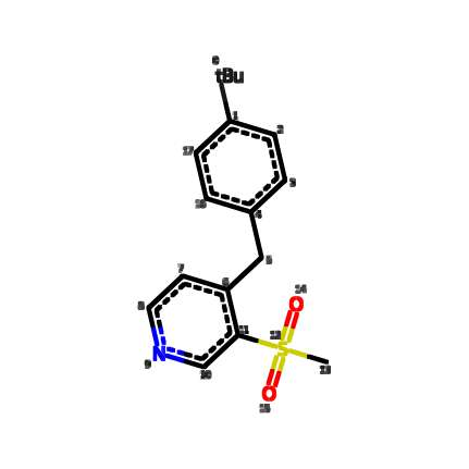 CC(C)(C)c1ccc(Cc2ccncc2S(C)(=O)=O)cc1